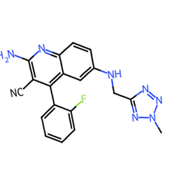 Cn1nnc(CNc2ccc3nc(N)c(C#N)c(-c4ccccc4F)c3c2)n1